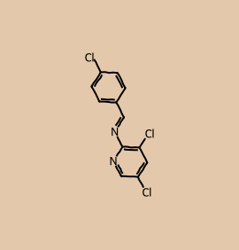 Clc1ccc(C=Nc2ncc(Cl)cc2Cl)cc1